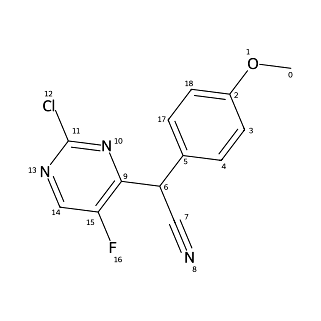 COc1ccc(C(C#N)c2nc(Cl)ncc2F)cc1